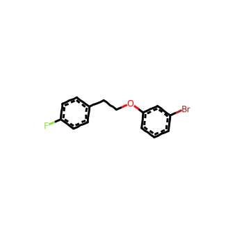 Fc1ccc(CCOc2cccc(Br)c2)cc1